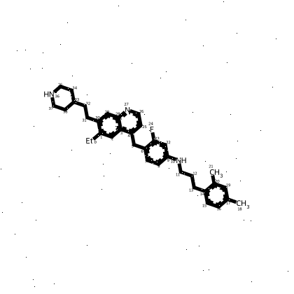 CCc1cc2c(Cc3ccc(NCCCc4ccc(C)cc4C)cc3F)ccnc2cc1CCC1CCNCC1